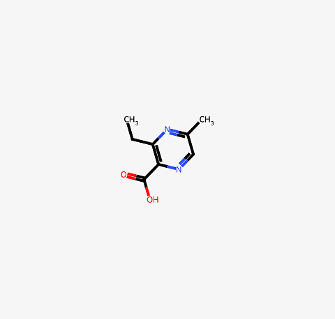 CCc1nc(C)cnc1C(=O)O